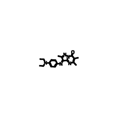 CCN(CC)c1ccc(N=C2C(C)=Nn3c2nc(C)c(C)c3=O)cc1